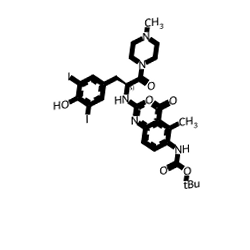 Cc1c(NC(=O)OC(C)(C)C)ccc2nc(N[C@@H](Cc3cc(I)c(O)c(I)c3)C(=O)N3CCN(C)CC3)oc(=O)c12